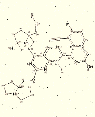 C#Cc1c(F)ccc2cc(O)cc(-c3ncc4c(N5C[C@H]6CCC(/C=C\F)(C5)N6)nc(OCC56CCCN5CCC6)nc4c3F)c12